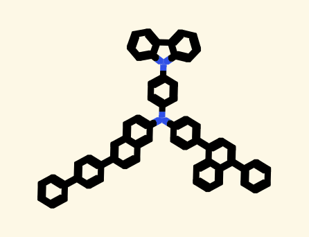 c1ccc(-c2ccc(-c3ccc4cc(N(c5ccc(-c6ccc(-c7ccccc7)c7ccccc67)cc5)c5ccc(-n6c7ccccc7c7ccccc76)cc5)ccc4c3)cc2)cc1